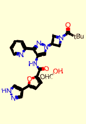 CC(C)(C)C(=O)N1CC(n2cc(NC(=O)c3ccc(-c4cn[nH]c4)o3)c(-c3ccccn3)n2)C1.O=CO